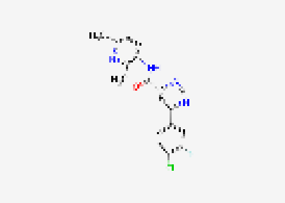 Cc1ccc(NC(=O)c2cc(-c3ccc(Cl)c(F)c3)ncn2)c(C)n1